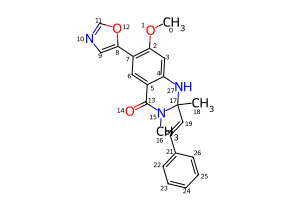 COc1cc2c(cc1-c1cnco1)C(=O)N(C)C(C)(C=Cc1ccccc1)N2